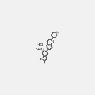 COc1cc2[nH]c(C)cc2cc1-c1ccc2nc(C3CCNCC3)ccc2n1.Cl